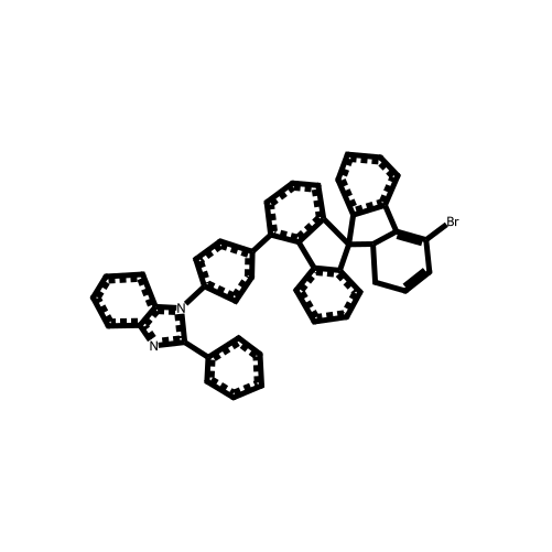 BrC1=C2c3ccccc3C3(c4ccccc4-c4c(-c5ccc(-n6c(-c7ccccc7)nc7ccccc76)cc5)cccc43)C2CC=C1